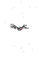 O=C(O)[C@@H](CCCc1ncnc2c1N=C[C@@H](C1C[C@H](O)[C@@H](CO)O1)CC2)CC(O)O